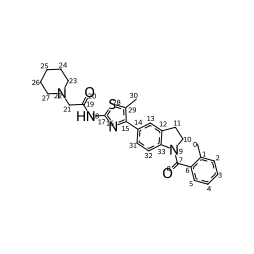 Cc1ccccc1C(=O)N1CCc2cc(-c3nc(NC(=O)CN4CCCCC4)sc3C)ccc21